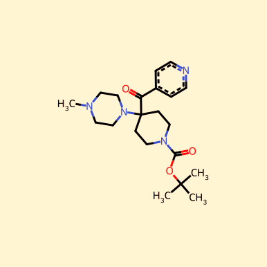 CN1CCN(C2(C(=O)c3ccncc3)CCN(C(=O)OC(C)(C)C)CC2)CC1